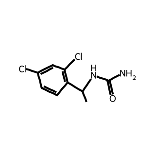 CC(NC(N)=O)c1ccc(Cl)cc1Cl